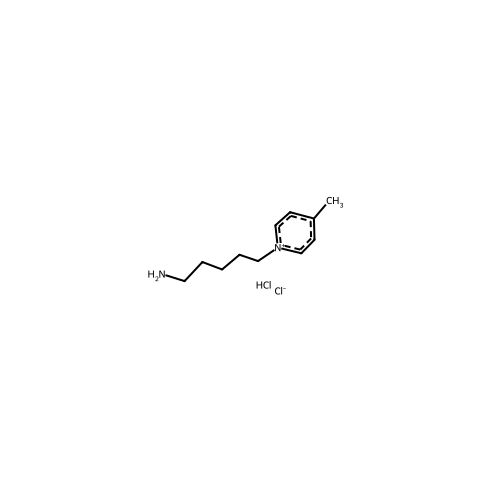 Cc1cc[n+](CCCCCN)cc1.Cl.[Cl-]